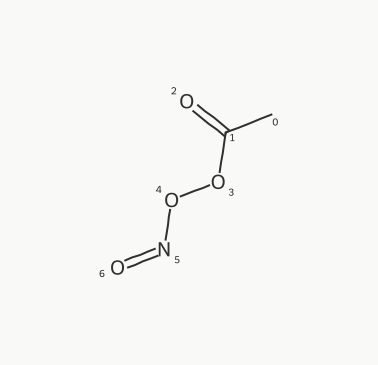 CC(=O)OON=O